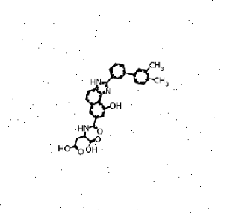 Cc1ccc(-c2cccc(-c3nc4c(ccc5cc(C(=O)NC(CC(=O)O)C(=O)O)cc(O)c54)[nH]3)c2)cc1C